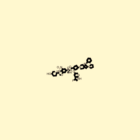 CC(C)c1ccccc1[C@@H]1CCCN1C1CC2(CCN(c3ccc(C(=O)NS(=O)(=O)c4cc5c(c([N+](=O)[O-])c4)N[C@@H]([C@H]4CC[C@H](O)CC4)CO5)c(Oc4cnc5[nH]cc(F)c5c4)c3)CC2)C1